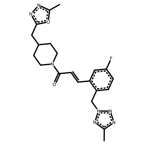 Cc1nnn(Cc2ccc(F)cc2C=CC(=O)N2CCC(Cc3nnc(C)o3)CC2)n1